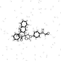 CC(COc1ccc(NC=O)cc1)(C(=O)O)c1cc2ccccc2nc1-c1ccccc1